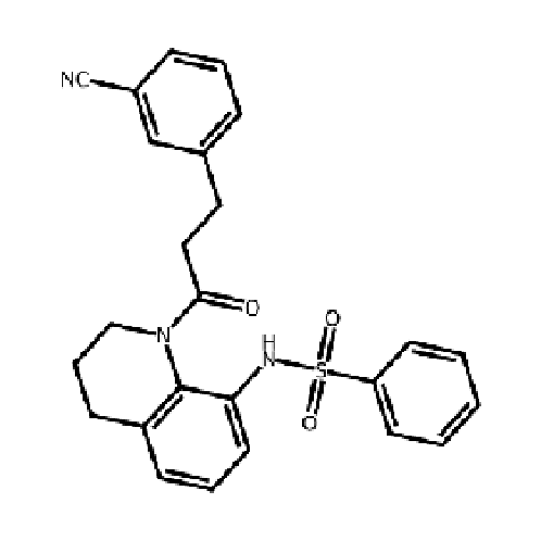 N#Cc1cccc(CCC(=O)N2CCCc3cccc(NS(=O)(=O)c4ccccc4)c32)c1